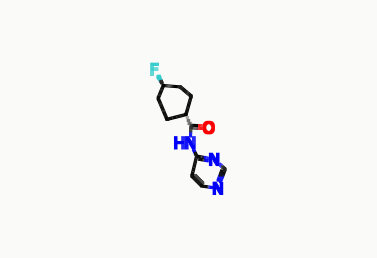 O=C(Nc1ccncn1)[C@H]1CC[C@H](F)CC1